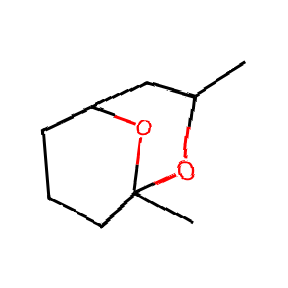 CC1CC2CCCC(C)(O1)O2